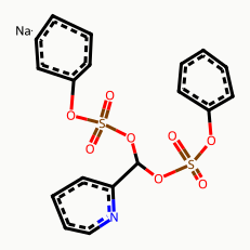 O=S(=O)(Oc1ccccc1)OC(OS(=O)(=O)Oc1ccccc1)c1ccccn1.[Na]